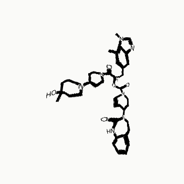 Cc1cc(C[C@@H](OC(=O)N2CCC(N3CCc4ccccc4NC3=O)CC2)C(=O)N2CCC(N3CCC(C)(O)CC3)CC2)cc2ncn(C)c12